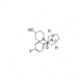 O=C(N1CCC(O)CC1)N1[C@@H]2CC[C@H]1C[C@@H](c1ccc(F)cc1)C2